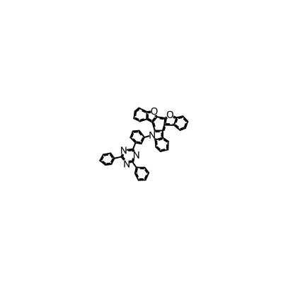 c1ccc(-c2nc(-c3ccccc3)nc(-c3cccc(-n4c5ccccc5c5c6c7ccccc7oc6c6oc7ccccc7c6c54)c3)n2)cc1